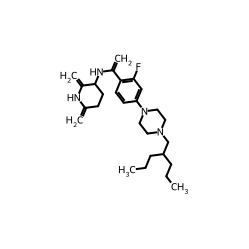 C=C1CCC(NC(=C)c2ccc(N3CCN(CC(CCC)CCC)CC3)cc2F)C(=C)N1